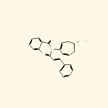 O=c1c2ccccc2nc(/C=C/c2ccccc2)n1C1=CC[C@@H](O)CC=C1